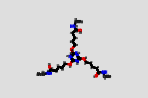 CONC(=O)CCCCOc1nc(OCCCCC(=O)NOC)nc(OCCCCC(=O)NOC)n1